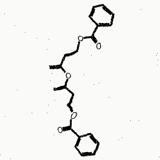 C=C(CCOC(=O)c1ccccc1)OC(=C)CCOC(=O)c1ccccc1